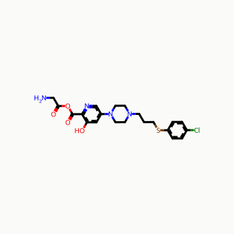 NCC(=O)OC(=O)c1ncc(N2CCN(CCCSc3ccc(Cl)cc3)CC2)cc1O